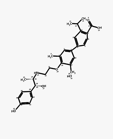 Cc1cc(-c2ccc(C(=O)O)c(C(C)C)c2)cc(C)c1OCCN[C@@H](C)[C@H](O)c1ccc(O)cc1.Cl